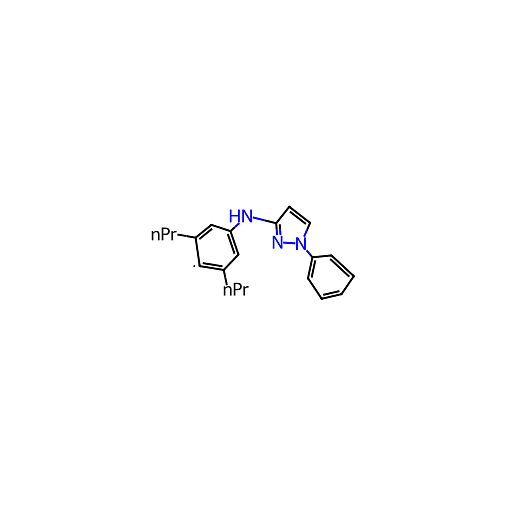 CCCc1[c]c(CCC)cc(Nc2ccn(-c3ccccc3)n2)c1